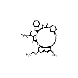 CCOc1cc2c3cc(c(OC)cc3n1)CCCO[C@H]1CCCN(C1)C(=O)N[C@@H](C1CCCCC1)C(=O)N1C[C@@H](C[C@H]1C(=O)OC)O2